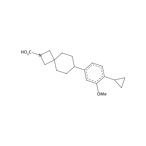 COc1cc(C2CCC3(CC2)CN(C(=O)O)C3)ccc1C1CC1